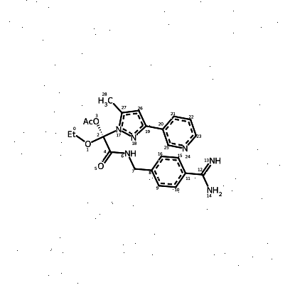 CCO[C@](OC(C)=O)(C(=O)NCc1ccc(C(=N)N)cc1)n1nc(-c2cccnc2)cc1C